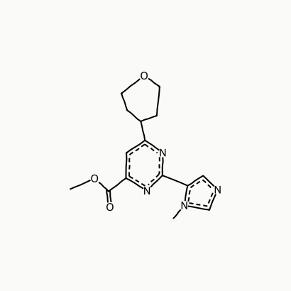 COC(=O)c1cc(C2CCOCC2)nc(-c2cncn2C)n1